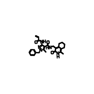 C=CC(=O)Nc1nn(Cc2ccccc2)c(C)c1C(=O)NCc1c2c(c(C)[nH]c1=O)CCCC2